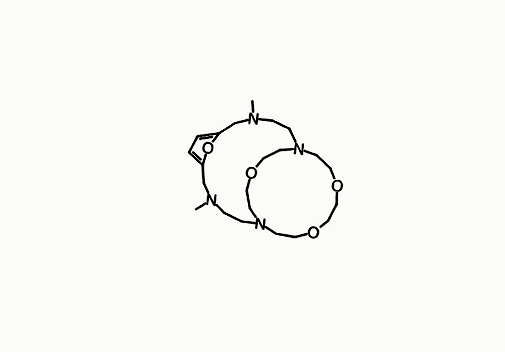 CN1CCN2CCOCCOCCN(CCOCC2)CCN(C)Cc2ccc(o2)C1